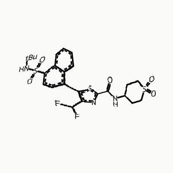 CC(C)(C)NS(=O)(=O)c1ccc(-c2sc(C(=O)NC3CCS(=O)(=O)CC3)nc2C(F)F)c2ccccc12